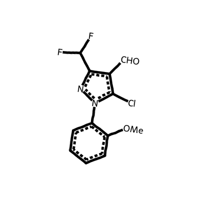 COc1ccccc1-n1nc(C(F)F)c(C=O)c1Cl